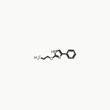 CCCOc1nc(-c2ccccc2)c[nH]1